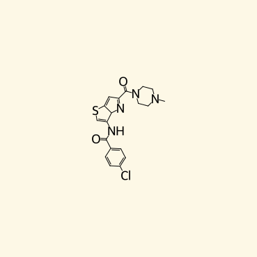 CN1CCN(C(=O)C2=NC3C(NC(=O)c4ccc(Cl)cc4)=CSC3=C2)CC1